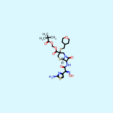 CC(C)(C)C(=O)OCOC(=O)C1(SCC2CCOCC2)CS[C@@H]2C(NC(=O)C(=NO)c3csc(N)n3)C(=O)N2C1